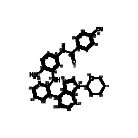 Cc1ccc(NC(=O)c2ccc(C#N)cc2)cc1Nc1ncccc1-c1ncnc2c1ncn2C1CCCCO1